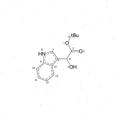 CC(C)(C)OC(=O)C(O)c1c[nH]c2ccccc12